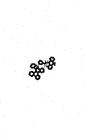 CC1(C)c2ccccc2-c2nc(-c3cccc(-n4c5ccccc5c5c6c7ccccc7c7ccccc7c6c6ccccc6c54)c3)nc3cccc1c23